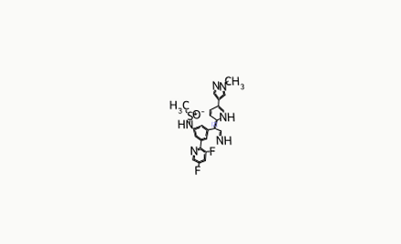 CC[S+]([O-])Nc1cc(/C(C=N)=C2\C=CC(c3cnn(C)c3)=CN2)cc(-c2ncc(F)cc2F)c1